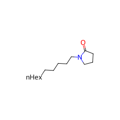 CCCCCCCCCCCN1CCCC1=O